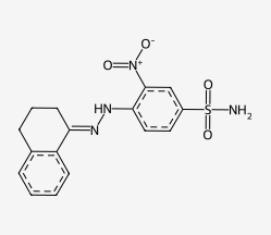 NS(=O)(=O)c1ccc(NN=C2CCCc3ccccc32)c([N+](=O)[O-])c1